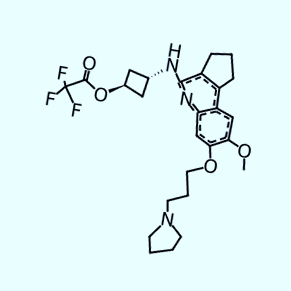 COc1cc2c3c(c(N[C@H]4C[C@H](OC(=O)C(F)(F)F)C4)nc2cc1OCCCN1CCCC1)CCC3